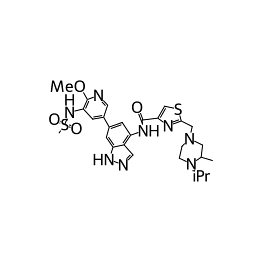 COc1ncc(-c2cc(NC(=O)c3csc(CN4CCN(C(C)C)C(C)C4)n3)c3cn[nH]c3c2)cc1NS(C)(=O)=O